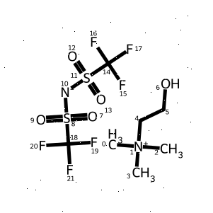 C[N+](C)(C)CCO.O=S(=O)([N-]S(=O)(=O)C(F)(F)F)C(F)(F)F